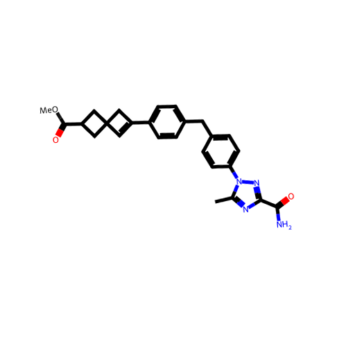 COC(=O)C1CC2(C=C(c3ccc(Cc4ccc(-n5nc(C(N)=O)nc5C)cc4)cc3)C2)C1